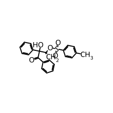 C=C(OS(=O)(=O)c1ccc(C)cc1)C(O)(C(=O)c1ccccc1)c1ccccc1